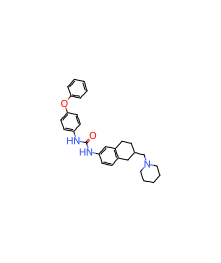 O=C(Nc1ccc(Oc2ccccc2)cc1)Nc1ccc2c(c1)CCC(CN1CCCCC1)C2